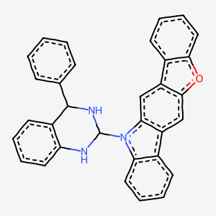 c1ccc(C2NC(n3c4ccccc4c4cc5oc6ccccc6c5cc43)Nc3ccccc32)cc1